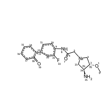 CO[C@H]1CN(CC(=O)Nc2ccc(-n3ccccc3=O)cc2F)C[C@@H]1N